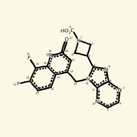 O=C(O)N1CC(c2nc3nccnc3n2Cc2cc(=O)[nH]c3c(F)c(F)ccc23)C1